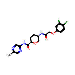 O=C(COc1ccc(Cl)c(F)c1)N[C@@H]1CC[C@H](C(=O)Nc2cnc(C(F)(F)F)cn2)OC1